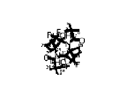 CC(C)(C)C(=O)N1C2(CCC2)[C@@](O)(C(F)(F)F)N(C(=O)C(C)(C)C)C2(CCC2)[C@@]1(O)C(F)(F)F